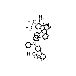 Cc1c(C)c(C)c2c(c1C)-c1ccccc1C21c2ccccc2-c2cccc(-c3cccc(N(c4ccccc4)c4ccc5c(c4)C(C)(C)c4ccccc4-5)c3)c21